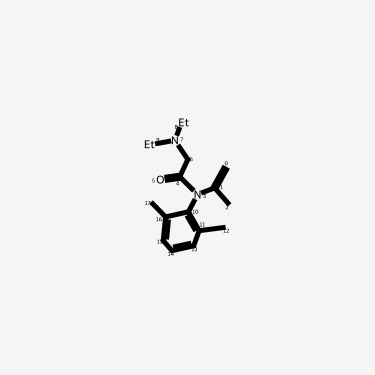 C=C(C)N(C(=O)CN(CC)CC)c1c(C)cccc1C